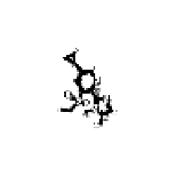 CCS(=O)(=O)c1cc(C2CC2)cnc1-c1ncc(C)n1C